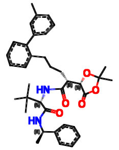 Cc1cccc(-c2ccccc2CCC[C@@H](C(=O)N[C@H](C(=O)N[C@H](C)c2ccccc2)C(C)(C)C)[C@@H]2OC(C)(C)OC2=O)c1